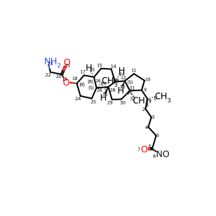 C[C@H](CCCCC(=O)N=O)C1CC[C@H]2[C@@H]3CC[C@@H]4C[C@H](OC(=O)CN)CC[C@]4(C)[C@H]3CC[C@]12C